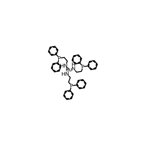 c1ccc(P(CC[NH][Ru]([NH]CCP(c2ccccc2)c2ccccc2)[NH]CCP(c2ccccc2)c2ccccc2)c2ccccc2)cc1